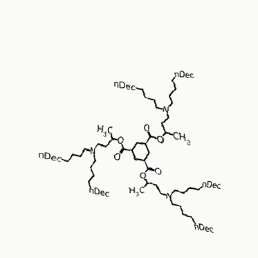 CCCCCCCCCCCCCCN(CCCCCCCCCCCCCC)CCC(C)OC(=O)[C@H]1C[C@@H](C(=O)OC(C)CCN(CCCCCCCCCCCCCC)CCCCCCCCCCCCCC)C[C@@H](C(=O)OC(C)CCN(CCCCCCCCCCCCCC)CCCCCCCCCCCCCC)C1